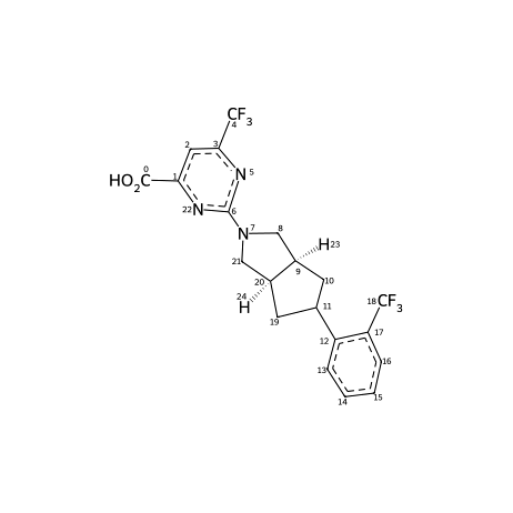 O=C(O)c1cc(C(F)(F)F)nc(N2C[C@H]3CC(c4ccccc4C(F)(F)F)C[C@H]3C2)n1